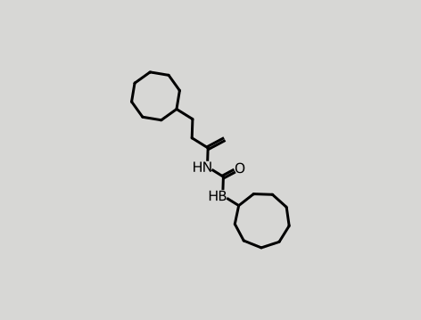 C=C(CCC1CCCCCCC1)NC(=O)BC1CCCCCCCC1